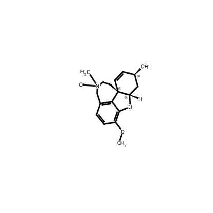 COc1ccc2c3c1O[C@H]1C[C@H](O)C=C[C@@]31CC[N+](C)([O-])C2